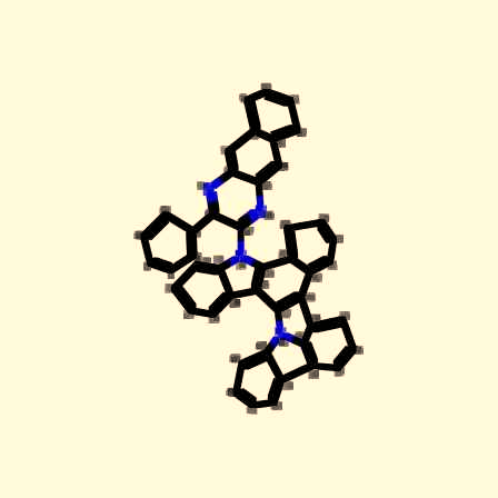 c1ccc(-c2nc3cc4ccccc4cc3nc2-n2c3ccccc3c3c2c2ccccc2c2c4cccc5c6ccccc6n(c54)c23)cc1